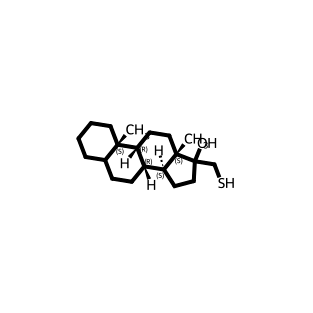 C[C@]12CCCCC1CC[C@@H]1[C@H]2CC[C@@]2(C)[C@H]1CCC2(O)CS